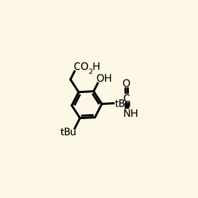 CC(C)(C)c1cc(CC(=O)O)c(O)c(C(C)(C)C)c1.N=C=O